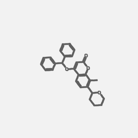 Cc1c(C2CCCCO2)ccc2c(OC(c3ccccc3)c3ccccc3)cc(=O)oc12